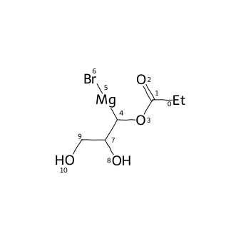 CCC(=O)O[CH]([Mg][Br])C(O)CO